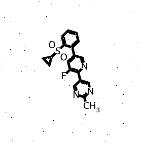 Cc1ncc(-c2ncc(-c3ccccc3S(=O)(=O)C3CC3)cc2F)cn1